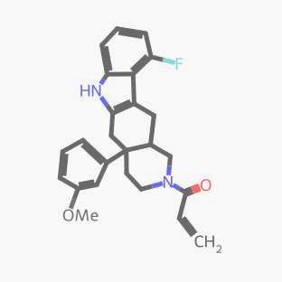 C=CC(=O)N1CCC2(c3cccc(OC)c3)Cc3[nH]c4cccc(F)c4c3CC2C1